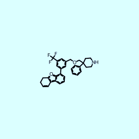 FC(F)(F)c1cc(COCC2(c3ccccc3)CCNCC2)cc(-c2cccc3c4c(oc23)CCC=C4)c1